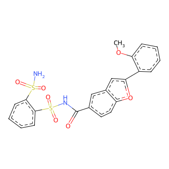 COc1ccccc1-c1cc2cc(C(=O)NS(=O)(=O)c3ccccc3S(N)(=O)=O)ccc2o1